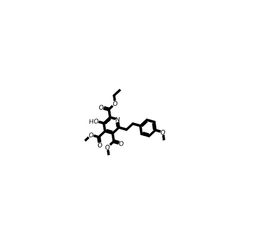 CCOC(=O)c1nc(CCc2ccc(OC)cc2)c(C(=O)OC)c(C(=O)OC)c1O